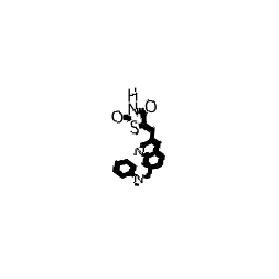 CN(Cc1ccc2cc(/C=C3\SC(=O)NC3=O)cnc2c1)c1ccccc1